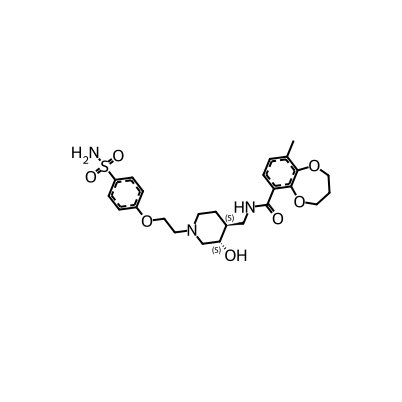 Cc1ccc(C(=O)NC[C@@H]2CCN(CCOc3ccc(S(N)(=O)=O)cc3)C[C@H]2O)c2c1OCCCO2